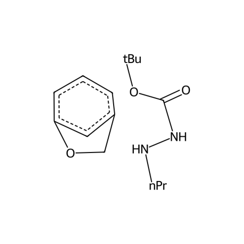 CCCNNC(=O)OC(C)(C)C.c1cc2cc(c1)OC2